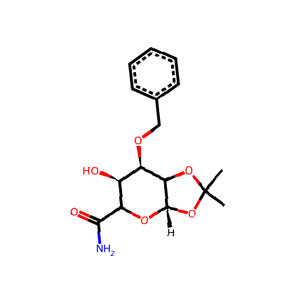 CC1(C)OC2[C@@H](OC(C(N)=O)[C@@H](O)[C@H]2OCc2ccccc2)O1